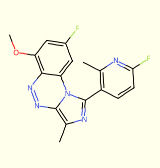 COc1cc(F)cc2c1nnc1c(C)nc(-c3ccc(F)nc3C)n12